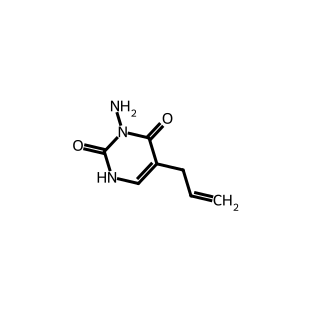 C=CCc1c[nH]c(=O)n(N)c1=O